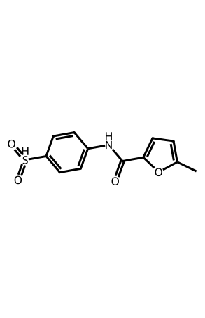 Cc1ccc(C(=O)Nc2ccc([SH](=O)=O)cc2)o1